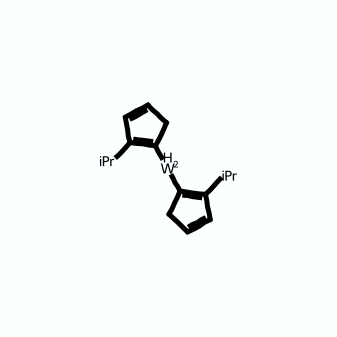 CC(C)C1=[C]([WH2][C]2=C(C(C)C)C=CC2)CC=C1